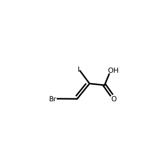 O=C(O)C(I)=CBr